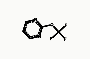 FC(F)(F)Oc1ncccn1